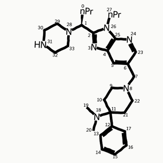 CCC[C@@H](c1nc2cc(CN3CCC(c4ccccc4)(N(C)C)CC3)cnc2n1CCC)N1CCNCC1